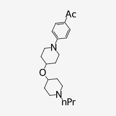 CCCN1CCC(OC2CCN(c3ccc(C(C)=O)cc3)CC2)CC1